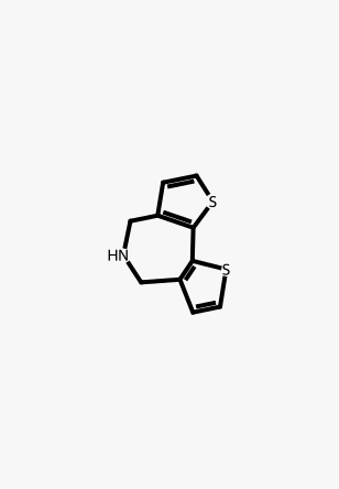 c1cc2c(s1)-c1sccc1CNC2